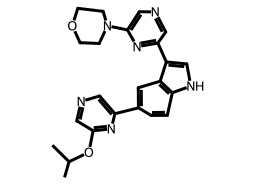 CC(C)Oc1cncc(-c2ccc3[nH]cc(-c4cncc(N5CCOCC5)n4)c3c2)n1